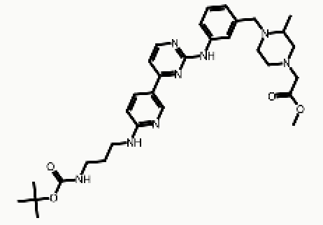 COC(=O)CN1CCN(Cc2cccc(Nc3nccc(-c4ccc(NCCCNC(=O)OC(C)(C)C)nc4)n3)c2)C(C)C1